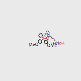 COc1ccc(C(OC[C@@H]2CCCN2C(=O)CCCCCNO)(c2ccccc2)c2ccc(OC)cc2)cc1